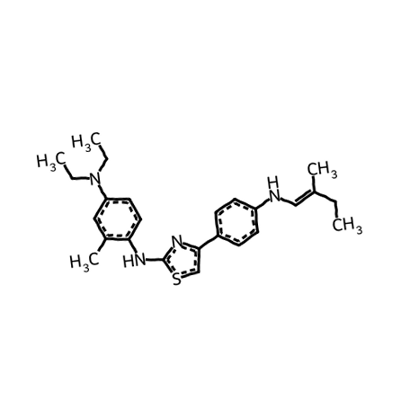 CC/C(C)=C/Nc1ccc(-c2csc(Nc3ccc(N(CC)CC)cc3C)n2)cc1